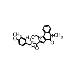 CCn1c(C(=O)NCc2ccc(OC)cc2)cc2c(=O)n(C)c3ccccc3c21